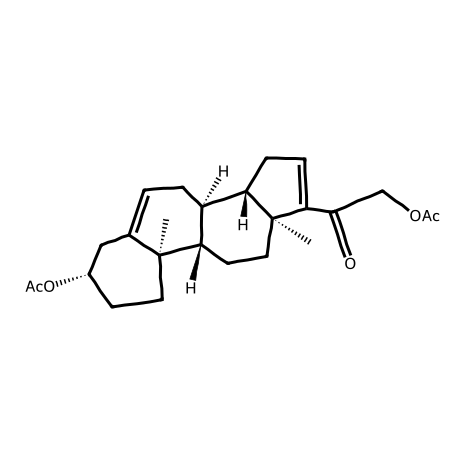 CC(=O)OCC(=O)C1=CC[C@H]2[C@@H]3CC=C4C[C@@H](OC(C)=O)CC[C@]4(C)[C@H]3CC[C@]12C